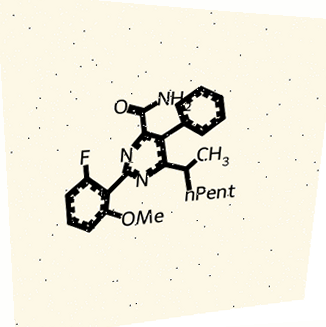 CCCCCC(C)c1nc(-c2c(F)cccc2OC)nc(C(N)=O)c1-c1ccccc1